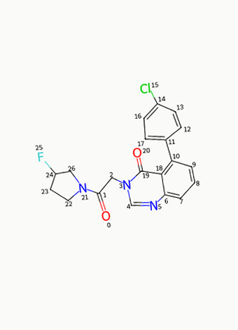 O=C(Cn1cnc2cccc(-c3ccc(Cl)cc3)c2c1=O)N1CCC(F)C1